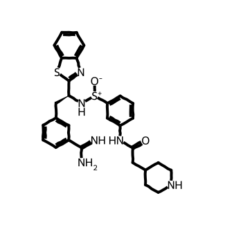 N=C(N)c1cccc(C[C@H](N[S+]([O-])c2cccc(NC(=O)CC3CCNCC3)c2)c2nc3ccccc3s2)c1